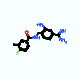 Cc1cc(C(=O)NCc2ccc(C(=N)N)cc2[NH])ccc1F